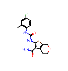 Cc1cc(Cl)ccc1NC(=O)Nc1sc2c(c1C(N)=O)CCOC2